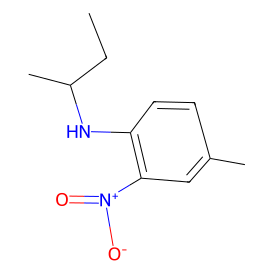 CCC(C)Nc1ccc(C)cc1[N+](=O)[O-]